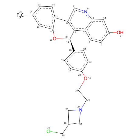 Oc1ccc2c3c(cnc2c1)-c1ccc(C(F)(F)F)cc1O[C@@H]3c1ccc(OCCN2CC(CCl)C2)cc1